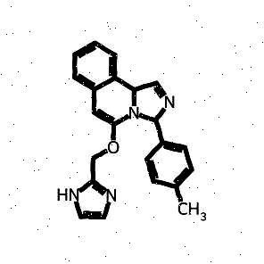 Cc1ccc(C2N=CC3c4ccccc4C=C(OCc4ncc[nH]4)N32)cc1